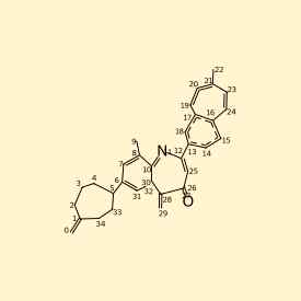 C=C1CCCC(C(/C=C(/C)C2=NC(c3ccc4c(c3)C=C=C(C)C=C4)=CC(=O)C(=C)C2)=C/C)CC1